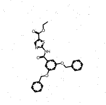 CCOC(=O)c1cnc(NC(=O)c2cc(OCc3ccccc3)cc(OCc3ccccc3)c2)s1